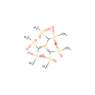 CS(=O)(=O)C(=P(=C(S(C)(=O)=O)S(C)(=O)=O)C(S(C)(=O)=O)S(C)(=O)=O)S(C)(=O)=O